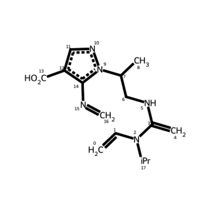 C=CN(C(=C)NCC(C)n1ncc(C(=O)O)c1N=C)C(C)C